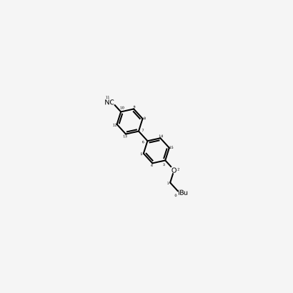 CCC(C)COc1ccc(-c2ccc(C#N)cc2)cc1